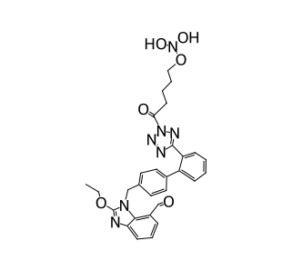 CCOc1nc2cccc(C=O)c2n1Cc1ccc(-c2ccccc2-c2nnn(C(=O)CCCCON(O)O)n2)cc1